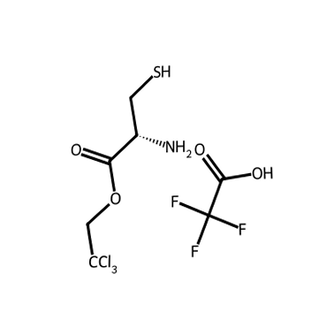 N[C@@H](CS)C(=O)OCC(Cl)(Cl)Cl.O=C(O)C(F)(F)F